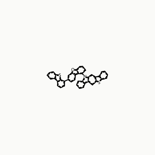 c1cc(-n2c3ccccc3c3cc4sc5ccccc5c4cc32)c2c(c1)oc1cc(-c3cccc4c3sc3ccccc34)ccc12